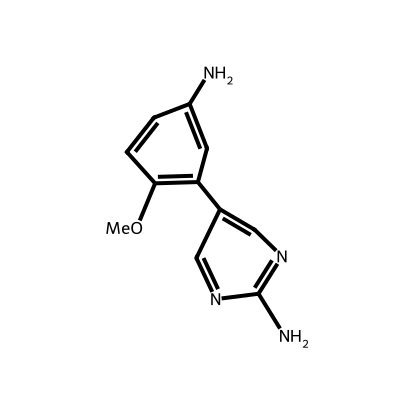 COc1ccc(N)cc1-c1cnc(N)nc1